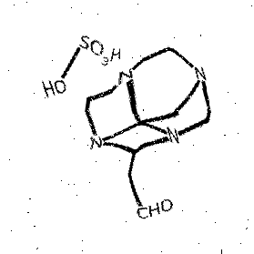 O=CC1N2CN3CN(C2)CN1C3.O=S(=O)(O)O